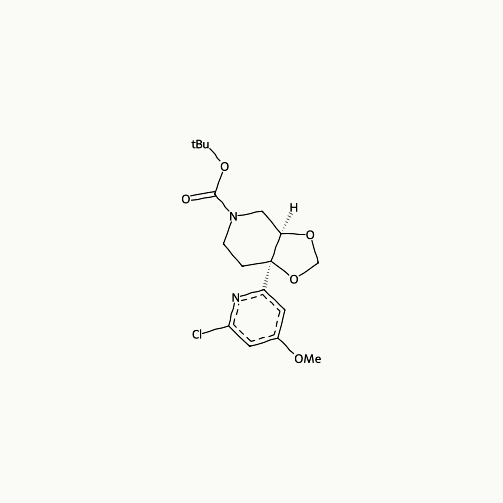 COc1cc(Cl)nc([C@]23CCN(C(=O)OC(C)(C)C)C[C@H]2OCO3)c1